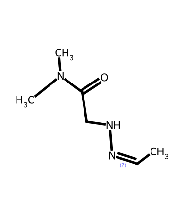 C/C=N\NCC(=O)N(C)C